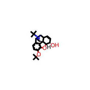 CC(C)(C)Oc1ccc2c3c1O[C@H]1[C@@H](O)C=CC4C(C2)N(C(C)(C)C)CC[C@@]341